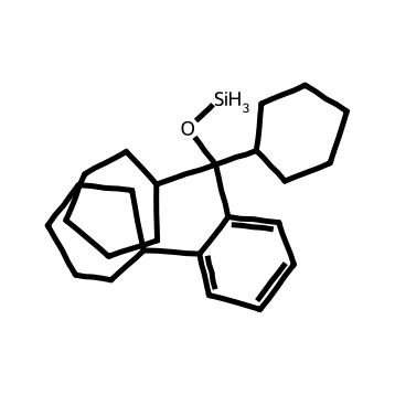 [SiH3]OC(c1ccccc1C1CCCCC1)(C1CCCCC1)C1CCCCC1